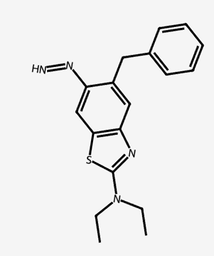 CCN(CC)c1nc2cc(Cc3ccccc3)c(N=N)cc2s1